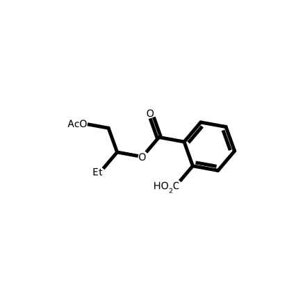 CCC(COC(C)=O)OC(=O)c1ccccc1C(=O)O